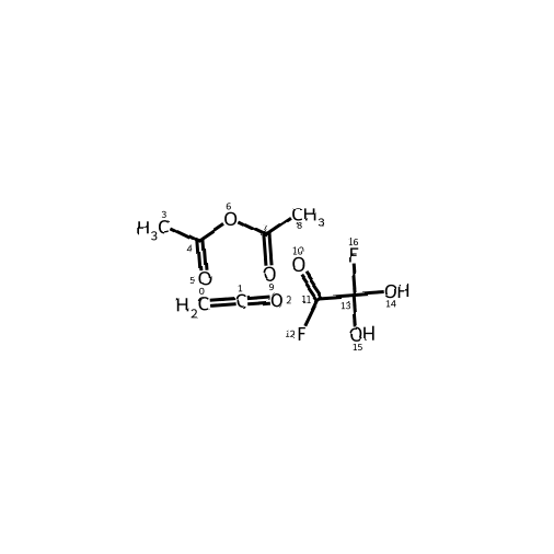 C=C=O.CC(=O)OC(C)=O.O=C(F)C(O)(O)F